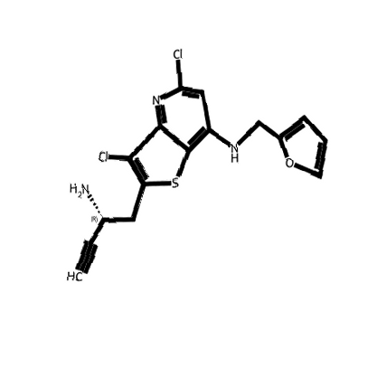 C#C[C@H](N)Cc1sc2c(NCc3ccco3)cc(Cl)nc2c1Cl